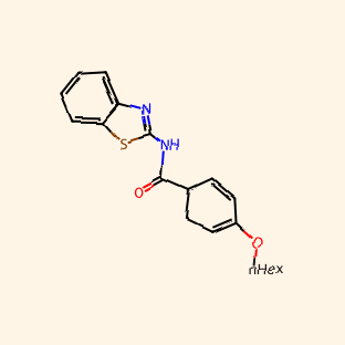 CCCCCCOC1=CCC(C(=O)Nc2nc3ccccc3s2)C=C1